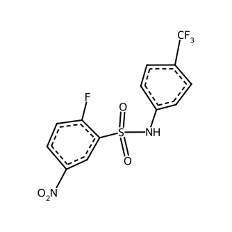 O=[N+]([O-])c1ccc(F)c(S(=O)(=O)Nc2ccc(C(F)(F)F)cc2)c1